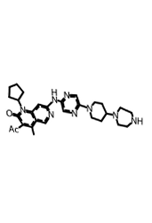 CC(=O)c1c(C)c2cnc(Nc3cnc(N4CCC(N5CCNCC5)CC4)cn3)cc2n(C2CCCC2)c1=O